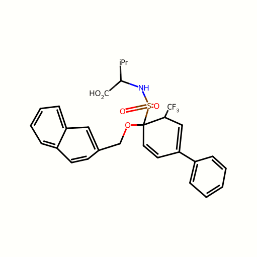 CC(C)C(NS(=O)(=O)C1(OCc2ccc3ccccc3c2)C=CC(c2ccccc2)=CC1C(F)(F)F)C(=O)O